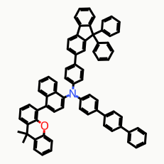 CC1(C)c2ccccc2Oc2c(-c3ccc(N(c4ccc(-c5ccc(-c6ccccc6)cc5)cc4)c4ccc(-c5ccc6c(c5)C(c5ccccc5)(c5ccccc5)c5ccccc5-6)cc4)c4ccccc34)cccc21